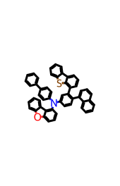 c1ccc(-c2ccc(N(c3ccc(-c4cccc5ccccc45)c(-c4cccc5c4sc4ccccc45)c3)c3cccc4oc5ccccc5c34)cc2)cc1